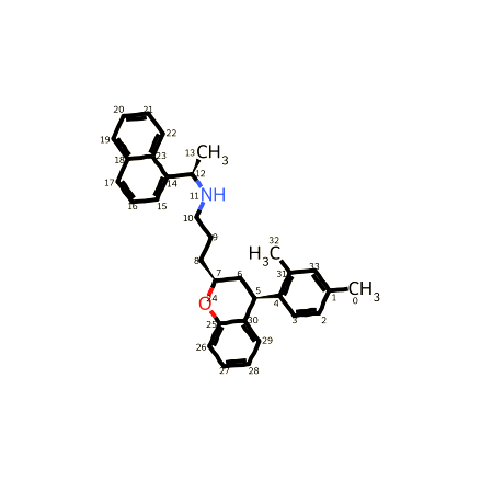 Cc1ccc([C@@H]2C[C@H](CCCN[C@H](C)c3cccc4ccccc34)Oc3ccccc32)c(C)c1